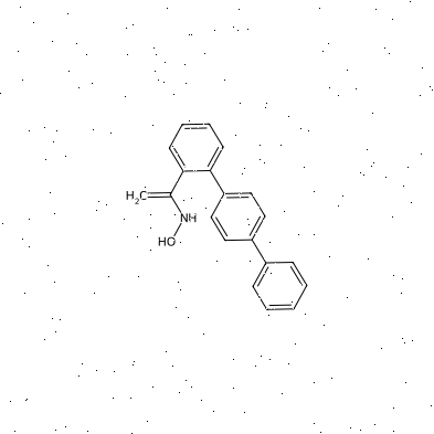 C=C(NO)c1ccccc1-c1ccc(-c2ccccc2)cc1